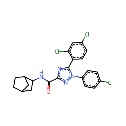 O=C(NC1CC2CCC1C2)c1nc(-c2ccc(Cl)cc2Cl)n(-c2ccc(Cl)cc2)n1